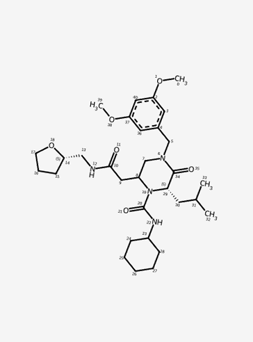 COc1cc(CN2CC(CC(=O)NC[C@@H]3CCCO3)N(C(=O)NC3CCCCC3)[C@@H](CC(C)C)C2=O)cc(OC)c1